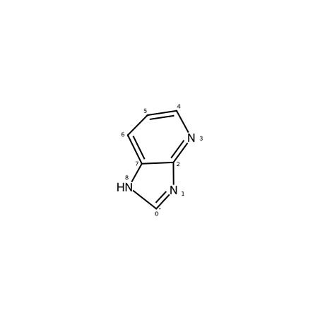 [c]1nc2ncccc2[nH]1